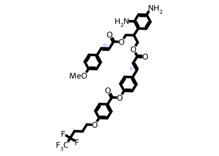 COc1ccc(/C=C/C(=O)OCC(COC(=O)/C=C/c2ccc(OC(=O)c3ccc(OCCCC(F)(F)C(F)(F)F)cc3)cc2)c2ccc(N)cc2N)cc1